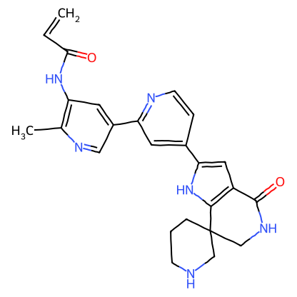 C=CC(=O)Nc1cc(-c2cc(-c3cc4c([nH]3)C3(CCCNC3)CNC4=O)ccn2)cnc1C